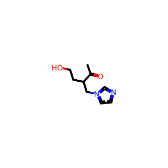 CC(=O)C(CCO)Cn1ccnc1